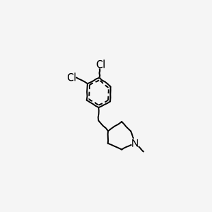 CN1CCC(Cc2ccc(Cl)c(Cl)c2)CC1